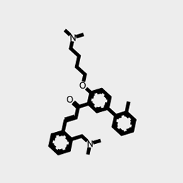 Cc1ccccc1-c1ccc(OCCCCN(C)C)c(C(=O)/C=C/c2ccccc2CN(C)C)c1